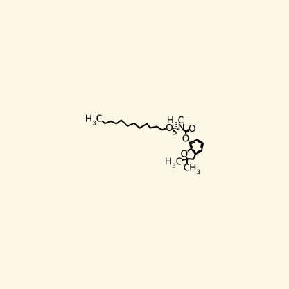 CCCCCCCCCCCCOSN(C)C(=O)Oc1cccc2c1OC(C)(C)C2